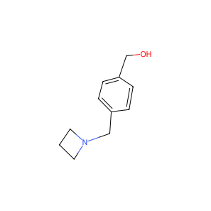 OCc1ccc(CN2CCC2)cc1